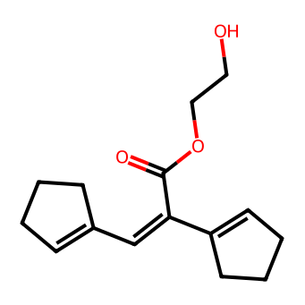 O=C(OCCO)/C(=C\C1=CCCC1)C1=CCCC1